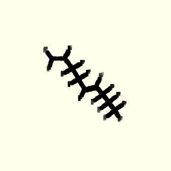 FC(=C(F)C(F)(F)C(F)(F)C(F)(F)F)C(F)(F)C(F)(F)C(F)C(F)F